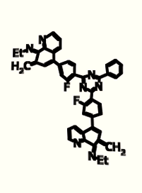 C=C1C=C(c2ccc(-c3nc(-c4ccccc4)nc(-c4ccc(C5=CC(=C)/C(=N\CC)c6ncccc65)cc4F)n3)c(F)c2)c2cccnc2/C1=N/CC